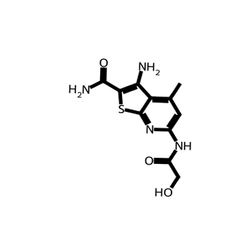 Cc1cc(NC(=O)CO)nc2sc(C(N)=O)c(N)c12